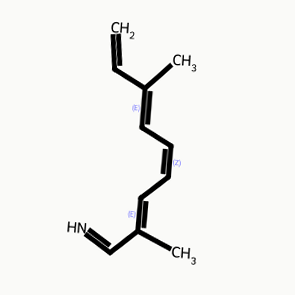 C=C/C(C)=C/C=C\C=C(/C)C=N